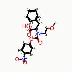 COCCN(C(=O)Oc1ccc([N+](=O)[O-])cc1)C(Cc1ccccc1)C(=O)O